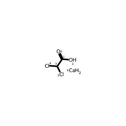 O=C(O)C(Cl)Cl.[CaH2]